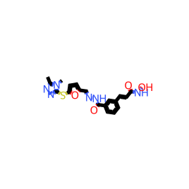 Cc1nnc(Sc2ccc(/C=N/NC(=O)c3cccc(/C=C/C(=O)NO)c3)o2)n1C